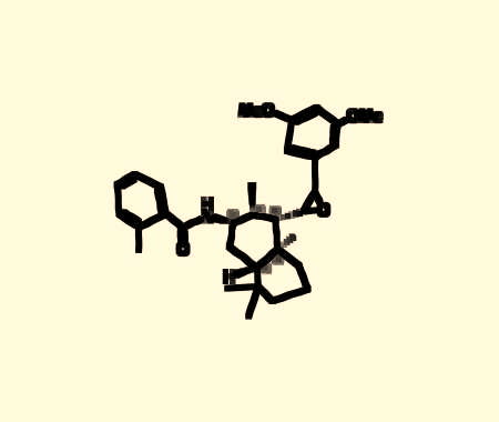 COc1cc(OC)cc(C2OC2[C@H]2[C@H](C)[C@H](NC(=O)c3ccccc3C)C[C@H]3C(C)(C)CCC[C@]23C)c1